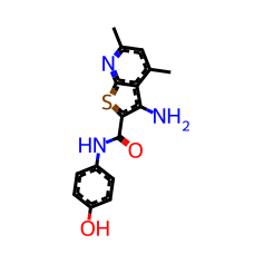 Cc1cc(C)c2c(N)c(C(=O)Nc3ccc(O)cc3)sc2n1